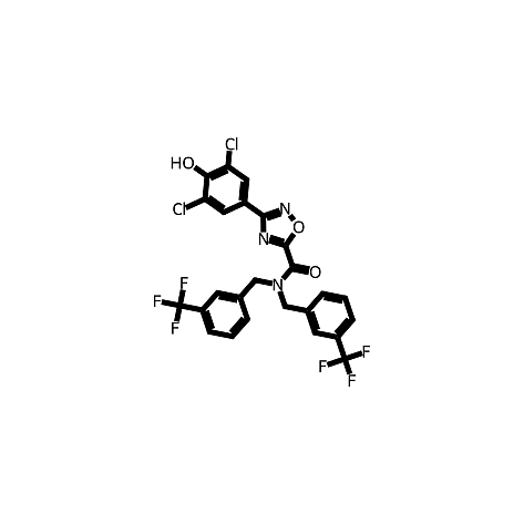 O=C(c1nc(-c2cc(Cl)c(O)c(Cl)c2)no1)N(Cc1cccc(C(F)(F)F)c1)Cc1cccc(C(F)(F)F)c1